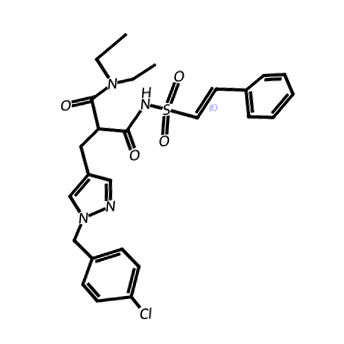 CCN(CC)C(=O)C(Cc1cnn(Cc2ccc(Cl)cc2)c1)C(=O)NS(=O)(=O)/C=C/c1ccccc1